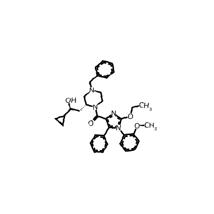 CCOc1nc(C(=O)N2CCN(Cc3ccccc3)C[C@H]2C[C@H](O)C2CC2)c(-c2ccccc2)n1-c1ccccc1OC